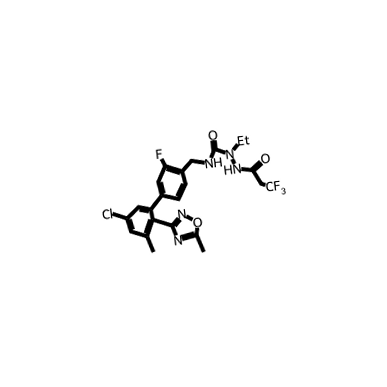 CCN(NC(=O)CC(F)(F)F)C(=O)NCc1ccc(-c2cc(Cl)cc(C)c2-c2noc(C)n2)cc1F